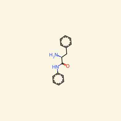 N[C@@H](Cc1ccccc1)C(=O)Nc1ccccc1